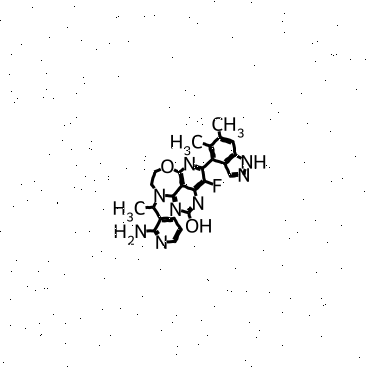 Cc1cc2[nH]ncc2c(-c2nc3c4c(nc(O)nc4c2F)N(C(C)c2cccnc2N)CCO3)c1C